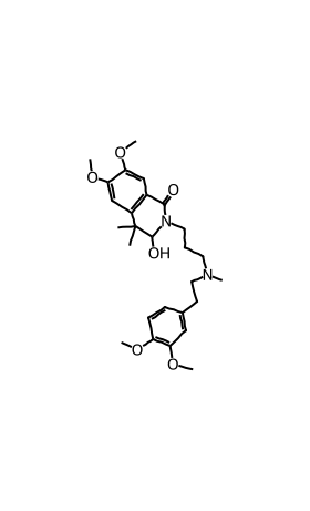 COc1ccc(CCN(C)CCCN2C(=O)c3cc(OC)c(OC)cc3C(C)(C)C2O)cc1OC